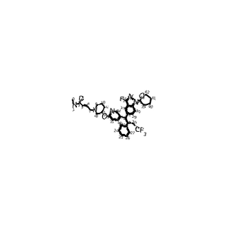 CN(C)C(=O)C=CCN1CCC[C@H](Oc2ccc(/C(=C(/CC(F)(F)F)c3ccccc3)c3ccc4c(c3)c(F)nn4C3CCCCO3)cn2)C1